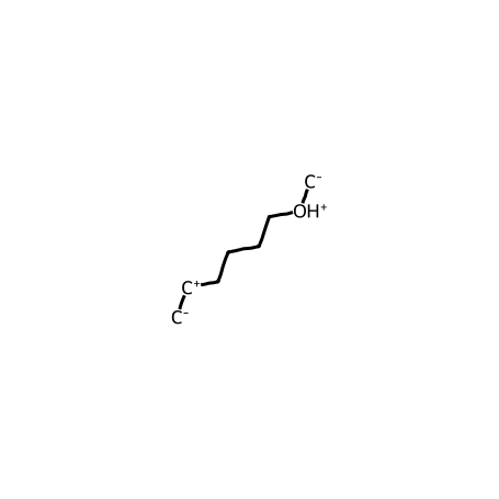 [CH2-][CH+]CCCC[OH+][CH2-]